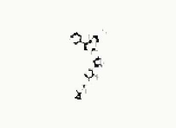 CC1(NC(=O)O[C@H]2CO[C@@H](c3cc(Nc4ncc(-c5cccnc5)c5nc(C#N)cn45)n[nH]3)[C@H]2F)CC1